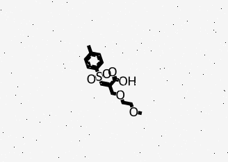 COCCOCC(=CS(=O)(=O)c1ccc(C)cc1)C(=O)O